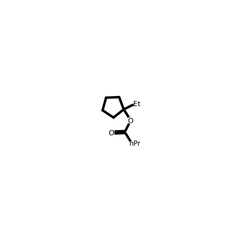 CCCC(=O)OC1(CC)CCCC1